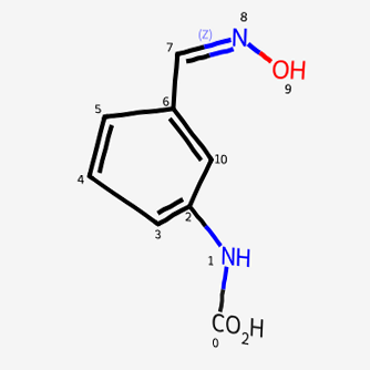 O=C(O)Nc1cccc(/C=N\O)c1